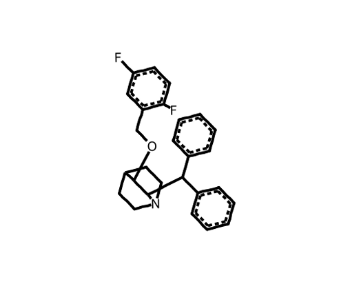 Fc1ccc(F)c(COC2C3CCN(CC3)C2C(c2ccccc2)c2ccccc2)c1